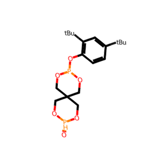 CC(C)(C)c1ccc(OP2OCC3(CO2)CO[PH](=O)OC3)c(C(C)(C)C)c1